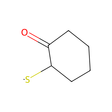 O=C1CCCCC1[S]